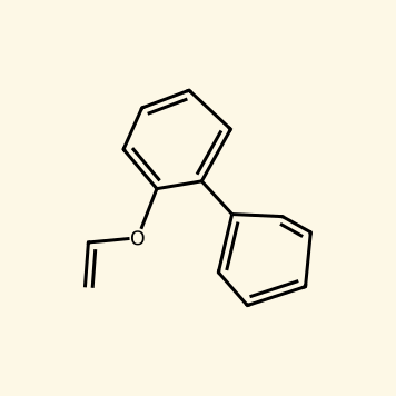 C=COc1ccccc1-c1ccccc1